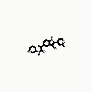 Cc1cc(-c2[nH]c3ccc(C(C)C(=O)N(C)C4CCCNC4)cc3c2C(C)C)ccn1